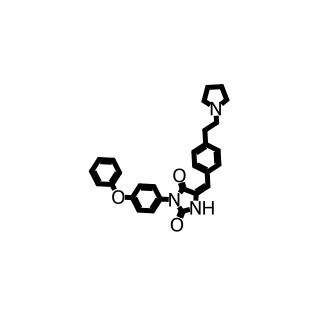 O=C1NC(=Cc2ccc(CCN3CCCC3)cc2)C(=O)N1c1ccc(Oc2ccccc2)cc1